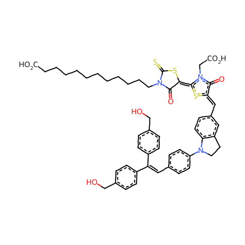 O=C(O)CCCCCCCCCCCN1C(=O)/C(=c2\s/c(=C\c3ccc4c(c3)CCN4c3ccc(C=C(c4ccc(CO)cc4)c4ccc(CO)cc4)cc3)c(=O)n2CC(=O)O)SC1=S